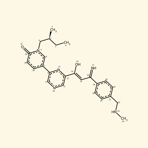 CC[C@H](C)Cn1cc(-c2cncc(/C(O)=C/C(=N)c3ccc(CNC)cc3)n2)ccc1=O